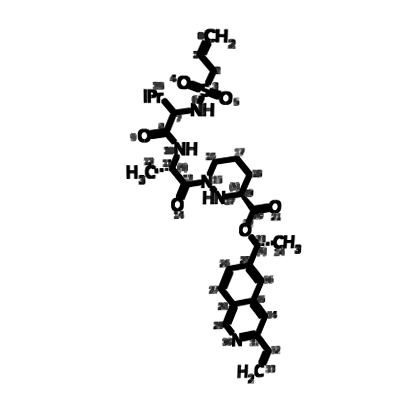 C=CCS(=O)(=O)NC(C(=O)N[C@@H](C)C(=O)N1CCC[C@@H](C(=O)O[C@H](C)c2ccc3cnc(C=C)cc3c2)N1)C(C)C